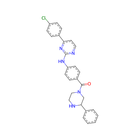 O=C(c1ccc(Nc2nccc(-c3ccc(Cl)cc3)n2)cc1)N1CCNC(c2ccccc2)C1